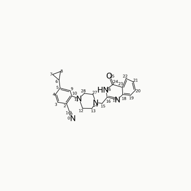 N#Cc1ccc(C2CC2)cc1N1CCN(Cc2nc3ccccc3c(=O)[nH]2)CC1